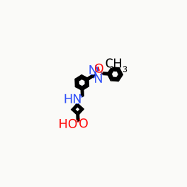 Cc1ccccc1-c1nc(-c2cccc(CNC3CC(C(=O)O)C3)c2)no1